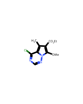 CCOC(=O)c1c(C)c2c(Cl)ncnn2c1OC